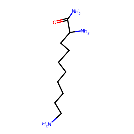 NCCCCCCCCC(N)C(N)=O